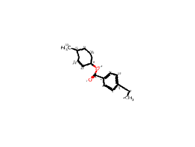 CCc1ccc(C(=O)OC2CCC(C)CC2)cc1